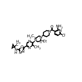 CC[C@H]1CN(c2ncc(-c3nnc(NC4(C)CC4)o3)nc2C)[C@H](C)CN1C1CCN(C(=O)c2ccc(Cl)nc2N)CC1